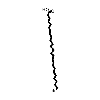 O=C(O)CCCCCCCCCCCCCCCCCCCCCCCCBr